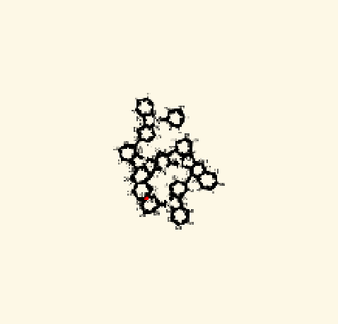 c1ccc(-n2c3ccccc3c3cc(-c4cccc5c6cc7ccccc7c7c8nc9c(cc8n(c45)c67)c4cccc5c6cc7ccccc7c(-c7ccc8c(c7)c7ccccc7n8-c7ccccc7)c6n9c45)ccc32)cc1